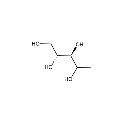 CC(O)[C@H](O)[C@H](O)CO